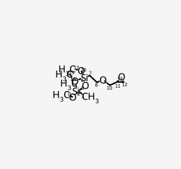 CO[Si](C)(C)O[Si](CCOCC1CO1)(OC)OC